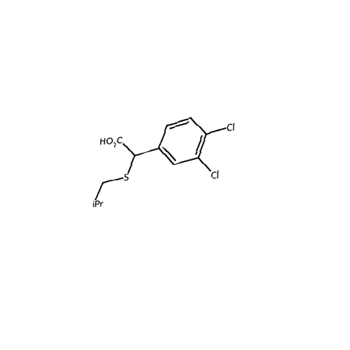 CC(C)CSC(C(=O)O)c1ccc(Cl)c(Cl)c1